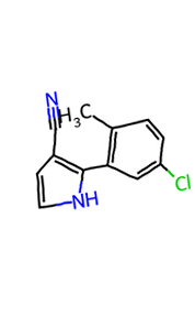 Cc1ccc(Cl)cc1-c1[nH]ccc1C#N